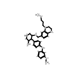 COCCCN1CCOc2ccc(COC3CNCC(O)C3c3ccc(Oc4cccc(SC)c4)cc3)cc21